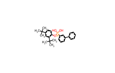 CC(C)(C)c1ccc(O[PH](O)(O)c2cccc(-c3ccccc3)c2)c(C(C)(C)C)c1